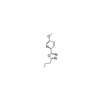 CCCc1nnc(-c2ccc(OC)cn2)o1